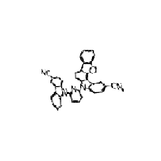 N#Cc1ccc2c(c1)c1ccccc1n2-c1cccc(-n2c3ccc(C#N)cc3c3c4oc5ccccc5c4ccc32)n1